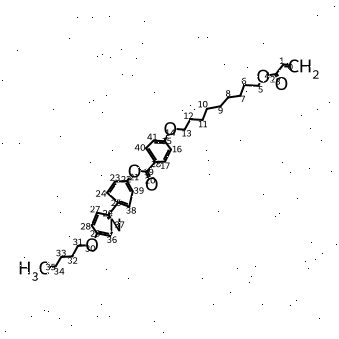 C=CC(=O)OCCCCCCCCCOc1ccc(C(=O)Oc2ccc(-c3ccc(OCCCCC)cn3)cc2)cc1